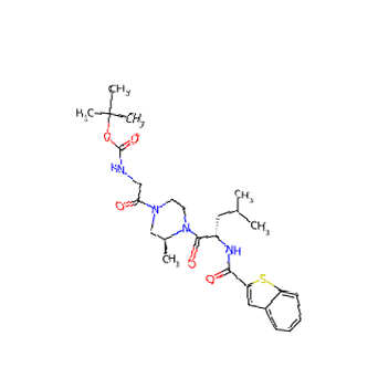 CC(C)C[C@H](NC(=O)c1cc2ccccc2s1)C(=O)N1CCN(C(=O)CNC(=O)OC(C)(C)C)C[C@@H]1C